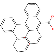 OB(O)c1c2ccccc2c(-c2ccccc2C2=CC=CCC2)c2ccccc12